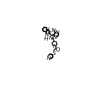 Nc1nccn2c(C3CCN(C(=O)CSc4ccncc4)CC3)nc(-c3cc4ccccc4[nH]3)c12